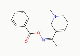 CC(=NOC(=O)c1ccccc1)C1=CCCN(C)C1